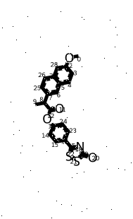 COc1ccc2cc(C(C)C(=O)Oc3ccc(-c4nc(=O)ss4)cc3)ccc2c1